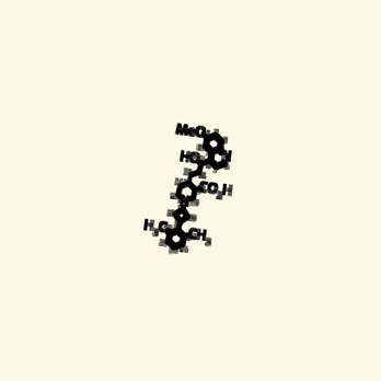 COc1ccc2nccc(C(O)CC[C@@H]3CCN(C4CC(c5c(C)cccc5C)C4)C[C@@H]3C(=O)O)c2c1